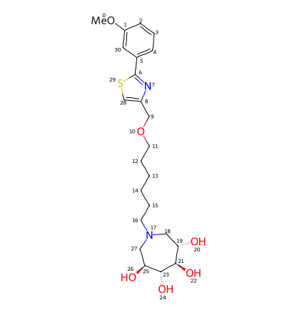 COc1cccc(-c2nc(COCCCCCCN3C[C@H](O)[C@@H](O)[C@H](O)[C@@H](O)C3)cs2)c1